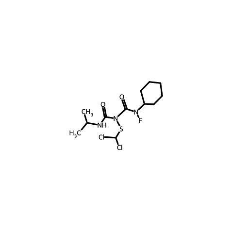 CC(C)NC(=O)N(SC(Cl)Cl)C(=O)N(F)C1CCCCC1